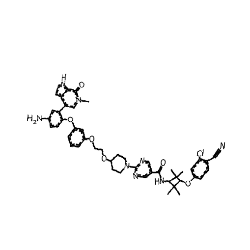 Cn1cc(-c2cc(N)ccc2Oc2cccc(OCCOC3CCN(c4ncc(C(=O)NC5C(C)(C)C(Oc6ccc(C#N)c(Cl)c6)C5(C)C)cn4)CC3)c2)c2cc[nH]c2c1=O